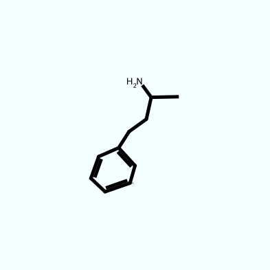 CC(N)CCc1c[c]ccc1